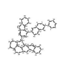 c1ccc(-c2ccc3cc(-c4nc(-n5c6cccc7ccc8cc9c%10ccccc%10oc9c5c8c76)nc5oc6ccccc6c45)ccc3c2)cc1